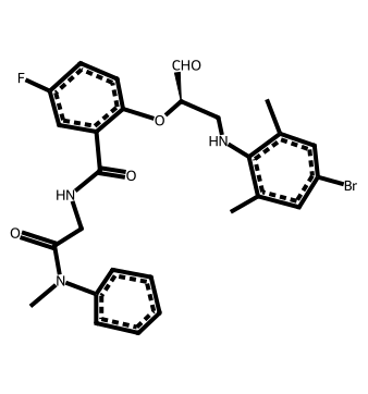 Cc1cc(Br)cc(C)c1NC[C@H](C=O)Oc1ccc(F)cc1C(=O)NCC(=O)N(C)c1ccccc1